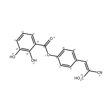 N#CC(=Cc1ccc(OC(=O)c2cccc(O)c2O)cc1)C(=O)O